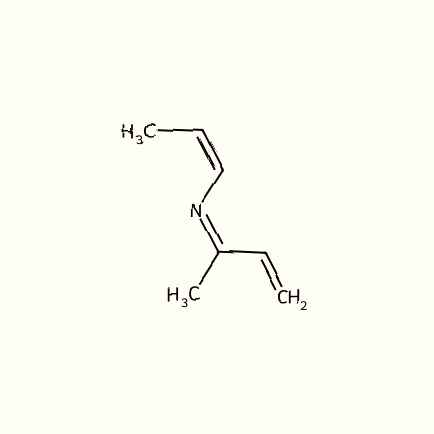 C=C/C(C)=N\C=C/C